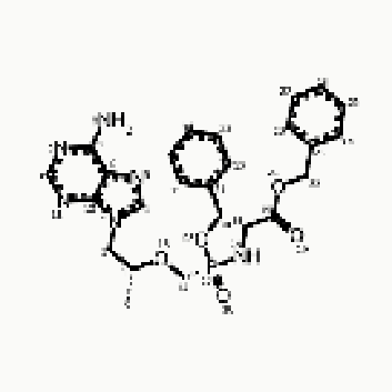 C[C@H](Cn1cnc2c(N)ncnc21)OC[P@@](=O)(NCC(=O)OCc1ccccc1)OCc1ccccc1